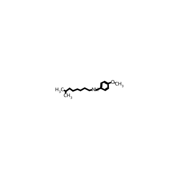 COc1ccc(CNCCCCCCC(C)C)cc1